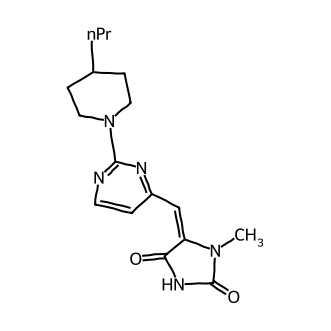 CCCC1CCN(c2nccc(/C=C3\C(=O)NC(=O)N3C)n2)CC1